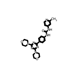 Cc1cc(NC(=O)Nc2ccc(-c3nc(N4CCOCC4)nc(N4CCOCC4)n3)cc2)ccn1